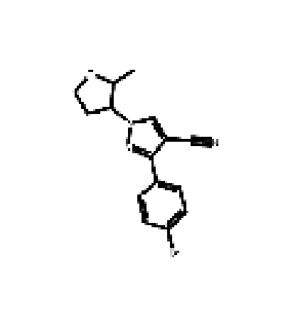 CC1OCCC1n1cc(C#N)c(-c2ccc(Br)cc2)n1